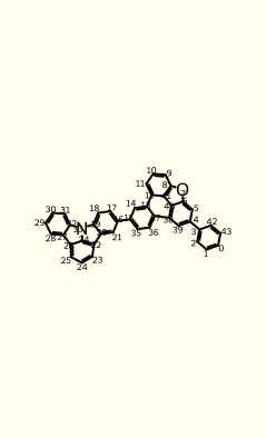 c1ccc(-c2cc3oc4cccc5c6cc(-c7ccc8c(c7)c7cccc9c%10ccccc%10n8c97)ccc6c(c2)c3c45)cc1